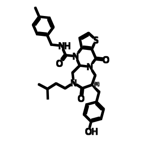 Cc1ccc(CNC(=O)N2c3ccsc3C(=O)N3C[C@@H](Cc4ccc(O)cc4)C(=O)N(CCC(C)C)CC32)cc1